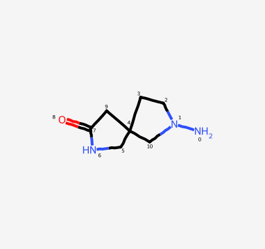 NN1CCC2(CNC(=O)C2)C1